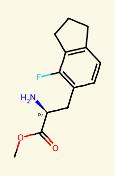 COC(=O)[C@@H](N)Cc1ccc2c(c1F)CCC2